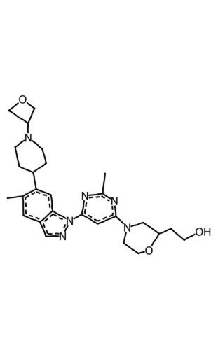 Cc1nc(N2CCOC(CCO)C2)cc(-n2ncc3cc(C)c(C4CCN(C5COC5)CC4)cc32)n1